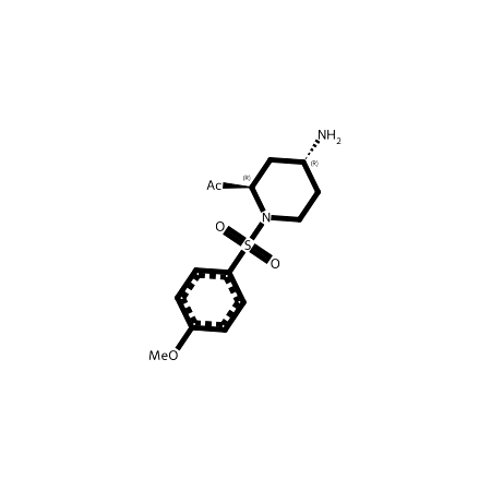 COc1ccc(S(=O)(=O)N2CC[C@@H](N)C[C@@H]2C(C)=O)cc1